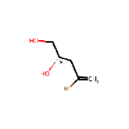 C=C(Br)C[C@H](O)CO